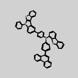 c1ccc(-n2c3ccc(-c4ccc(N(c5ccc(-c6cc7ccccc7c7ccccc67)cc5)c5cccc6c5oc5ccccc56)cc4)cc3c3c4ccccc4oc32)cc1